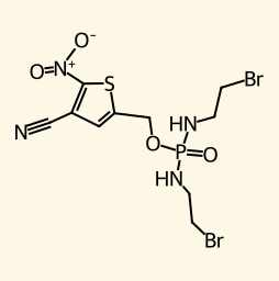 N#Cc1cc(COP(=O)(NCCBr)NCCBr)sc1[N+](=O)[O-]